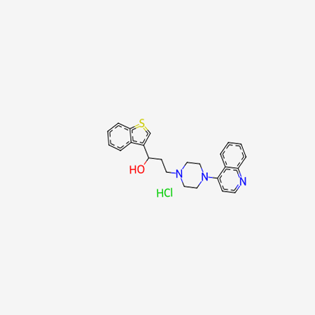 Cl.OC(CCN1CCN(c2ccnc3ccccc23)CC1)c1csc2ccccc12